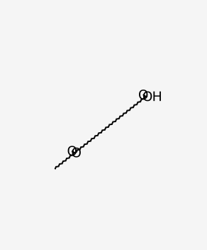 CCCCCCCCCCCC(=O)OCCCCCCCCCCCCCCCCCCCCCCCCCCCCCCCCCCCCCCC(=O)O